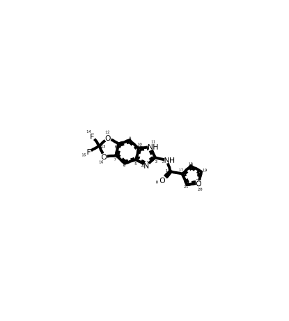 O=C(Nc1nc2cc3c(cc2[nH]1)OC(F)(F)O3)c1ccoc1